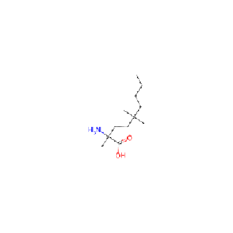 CCCCC(C)(C)CCC(C)(N)C(=O)O